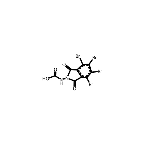 O=C(O)NN1C(=O)c2c(Br)c(Br)c(Br)c(Br)c2C1=O